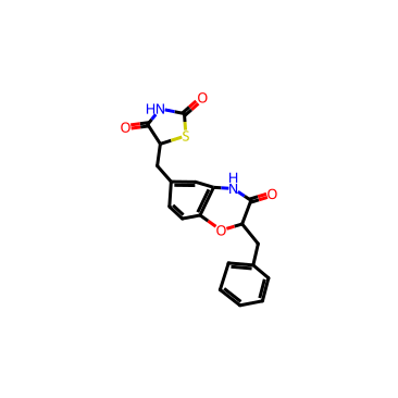 O=C1NC(=O)C(Cc2ccc3c(c2)NC(=O)C(Cc2ccccc2)O3)S1